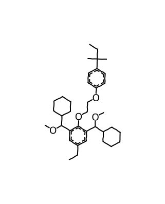 CCc1cc(C(OC)C2CCCCC2)c(OCCOc2ccc(C(C)(C)CC)cc2)c(C(OC)C2CCCCC2)c1